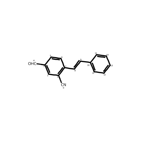 N#Cc1cc(C=O)ccc1/C=C/c1ccccc1